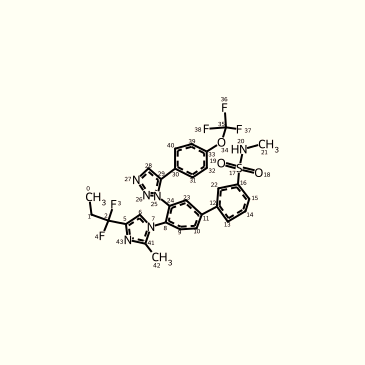 CCC(F)(F)c1cn(-c2ccc(-c3cccc(S(=O)(=O)NC)c3)cc2-n2nncc2-c2ccc(OC(F)(F)F)cc2)c(C)n1